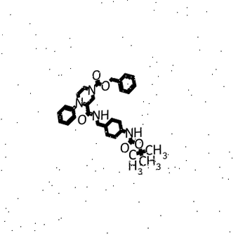 CC(C)(C)OC(=O)NC1CCC(CNC(=O)C2CN(C(=O)OCc3ccccc3)CCN2c2ccccc2)CC1